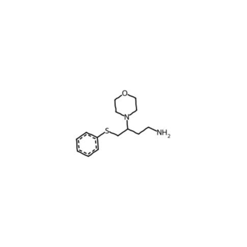 NCCC(CSc1ccccc1)N1CCOCC1